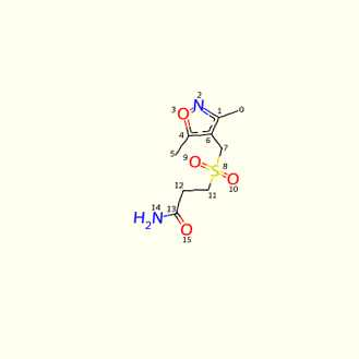 Cc1noc(C)c1CS(=O)(=O)CCC(N)=O